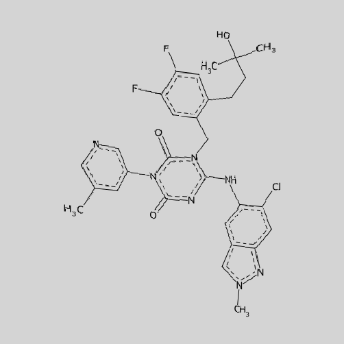 Cc1cncc(-n2c(=O)nc(Nc3cc4cn(C)nc4cc3Cl)n(Cc3cc(F)c(F)cc3CCC(C)(C)O)c2=O)c1